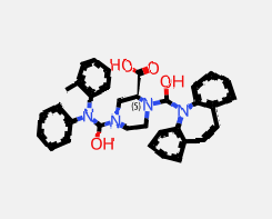 Cc1ccccc1N(c1ccccc1)C(O)N1CCN(C(O)N2c3ccccc3C=Cc3ccccc32)[C@H](C(=O)O)C1